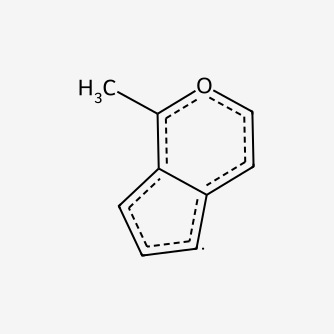 Cc1occc2[c]ccc1-2